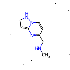 CNCC1=NC2=CCNN2C=C1